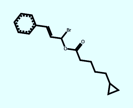 O=C(CCCCC1CC1)OC(Br)/C=C/c1ccccc1